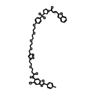 Cc1ccc(-c2nc3cc(Cl)c(NC(=O)CCOCCn4cc(COCCOCCOCCOc5ccc(S(=O)(=O)C6CCN(C(=O)/C=C/c7cc8ccccc8o7)C6)cc5)nn4)cc3o2)cc1